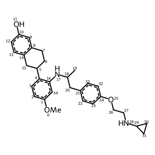 COc1ccc(C2CCc3cc(O)ccc3C2)c(NC(C)Cc2ccc(OCCNC3CC3)cc2)c1